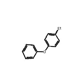 CCc1ccc(Oc2c[c]ccc2)cc1